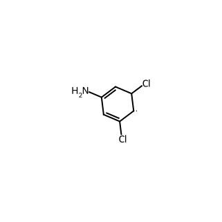 NC1=CC(Cl)[CH]C(Cl)=C1